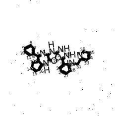 N=C(NC1N=C(c2ccccc2)c2ccccc2NC1=O)OC(=N)c1ccccc1NCc1ccccn1